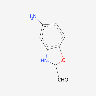 Nc1ccc2c(c1)NC(C=O)O2